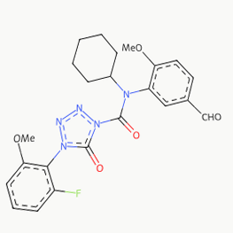 COc1ccc(C=O)cc1N(C(=O)n1nnn(-c2c(F)cccc2OC)c1=O)C1CCCCC1